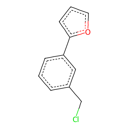 ClCc1cccc(-c2ccco2)c1